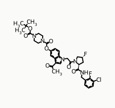 CC(=O)c1cn(CC(=O)N2C[C@H](F)C[C@H]2C(=O)NCc2cccc(Cl)c2F)c2ccc(OC(=O)N3CCN(C(=O)OC(C)(C)C)CC3)cc12